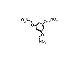 O=[N+]([O-])COc1cc(OC[N+](=O)[O-])cc(OC[N+](=O)[O-])c1